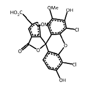 COc1cc2c(c(Cl)c1O)Oc1c(ccc(O)c1Cl)C21OC(=O)c2cc(C(=O)O)cc(OC)c21